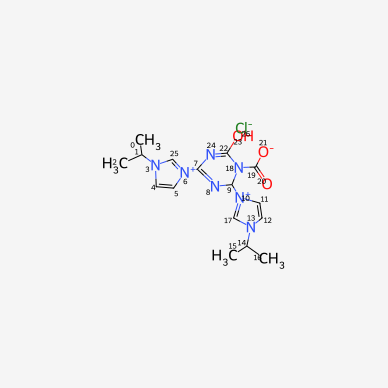 CC(C)n1cc[n+](C2=NC([n+]3ccn(C(C)C)c3)N(C(=O)[O-])C(O)=N2)c1.[Cl-]